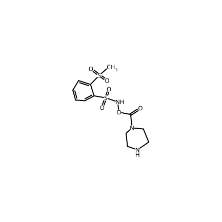 CS(=O)(=O)c1ccccc1S(=O)(=O)NOC(=O)N1CCNCC1